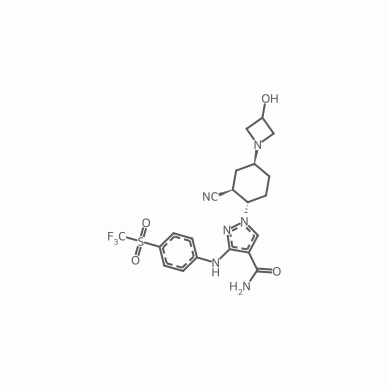 N#C[C@H]1C[C@@H](N2CC(O)C2)CC[C@@H]1n1cc(C(N)=O)c(Nc2ccc(S(=O)(=O)C(F)(F)F)cc2)n1